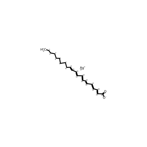 CCCCCCCCCC=CC=CC=CC=CC=CC=CC(=O)[O-].[Ag+]